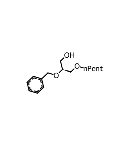 CCCCCOC[C@H](CO)OCc1ccccc1